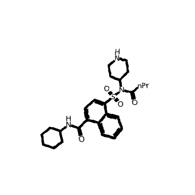 CCCC(=O)N(C1CCNCC1)S(=O)(=O)c1ccc(C(=O)NC2CCCCC2)c2ccccc12